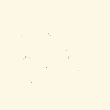 Nc1nc2c(nc[n]2[BiH](=[O])[Cl])c(=O)[nH]1